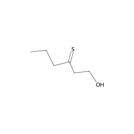 CCCC(=S)CCO